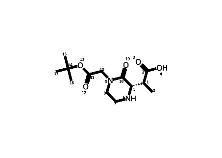 CC(C(=O)O)[C@@H]1NCCN(CC(=O)OC(C)(C)C)C1=O